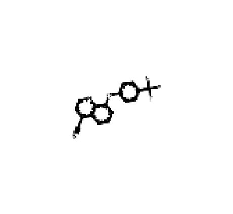 N#Cc1ccnc2c(Oc3ccc(C(F)(F)F)cc3)cccc12